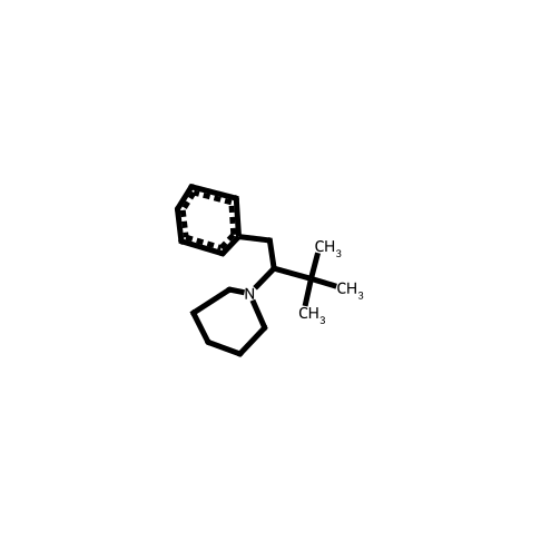 CC(C)(C)C(Cc1ccccc1)N1CCCCC1